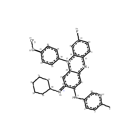 Cc1ccc(Nc2cc3nc4ccc(F)cc4n(-c4ccc(OC(F)(F)F)cc4)c-3c/c2=N\C2CCCCC2)cn1